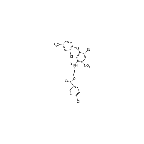 CCc1cc([N+](=O)[O-])c([PH](=O)OCOC(=O)c2ccc(Cl)cc2)cc1Oc1ccc(C(F)(F)F)cc1Cl